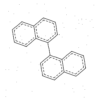 [c]1ccc2ccccc2c1-c1cccc2ccccc12